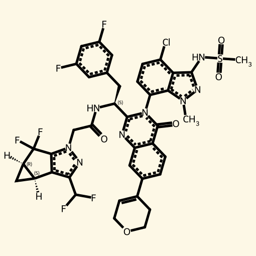 Cn1nc(NS(C)(=O)=O)c2c(Cl)ccc(-n3c([C@H](Cc4cc(F)cc(F)c4)NC(=O)Cn4nc(C(F)F)c5c4C(F)(F)[C@@H]4C[C@H]54)nc4cc(C5=CCOCC5)ccc4c3=O)c21